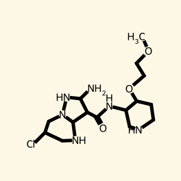 COCCOC1CCNCC1NC(=O)C1C(N)NN2CC(Cl)CNC12